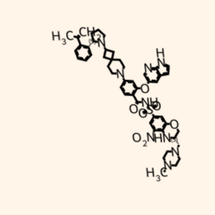 C=C(C)c1ccccc1[C@@H]1CCCN1C1CC2(CCN(c3ccc(C(=O)NS(=O)(=O)c4cc5c(c([N+](=O)[O-])c4)N[C@@H](CN4CCN(C)CC4)CO5)c(Oc4cnc5[nH]ccc5c4)c3)CC2)C1